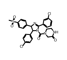 CS(=O)(=O)c1ccc(C2N=C(c3cccc(Cl)c3)N(C(=O)N3CCNC(=O)C3)C2c2ccc(Cl)cc2)cc1